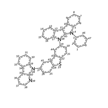 c1ccc(-n2c3ccccc3c3c4ccccc4n(-c4ccc5sc6ccc(-n7c8ccccc8c8cccnc87)cc6c5c4)c32)cc1